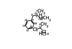 CC(Cl)Cl.CN[C@@H](C)Cc1ccccc1.Cl